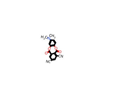 CN(C)c1ccc2c(c1)OC(=O)c1cc(C#N)cc(C#N)c1C(=O)O2